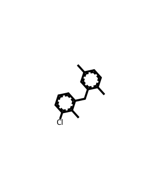 Cc1ccc(C)c(Cc2cccc(Cl)c2C)c1